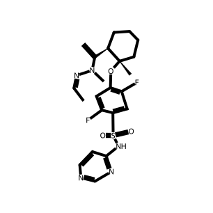 C=C([C@H]1CCCC[C@]1(C)Oc1cc(F)c(S(=O)(=O)Nc2ccncn2)cc1F)N(C)/N=C\C